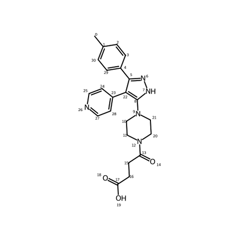 Cc1ccc(-c2n[nH]c(N3CCN(C(=O)CCC(=O)O)CC3)c2-c2ccncc2)cc1